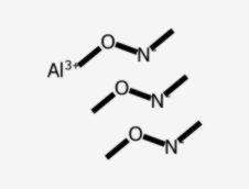 C[N-]OC.C[N-]OC.C[N-]OC.[Al+3]